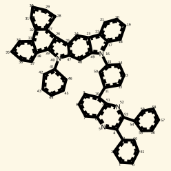 c1ccc(-c2nc3cccc(-c4cccc(-n5c6ccccc6c6cc7c8c9ccccc9c9ccccc9c8n(-c8ccccc8)c7cc65)c4)c3nc2-c2ccccc2)cc1